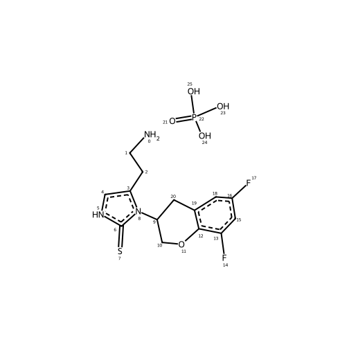 NCCc1c[nH]c(=S)n1C1COc2c(F)cc(F)cc2C1.O=P(O)(O)O